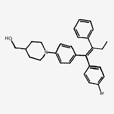 CC/C(=C(\c1ccc(Br)cc1)c1ccc(N2CCC(CO)CC2)cc1)c1ccccc1